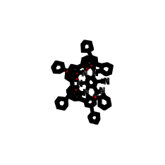 N#Cc1c(-c2nc3ccccc3s2)c(-n2c3ccccc3c3cc(-c4ccccc4)ccc32)c(-n2c3ccccc3c3cc(-c4ccccc4)ccc32)c(-n2c3ccccc3c3cc(-c4ccccc4)ccc32)c1-n1c2ccccc2c2cc(-c3ccccc3)ccc21